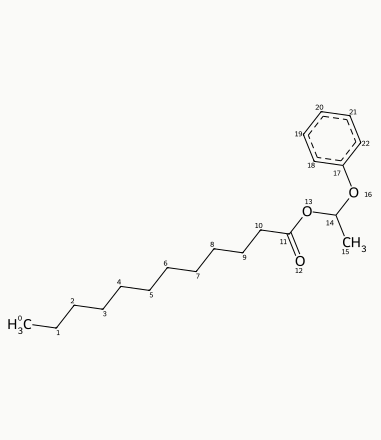 CCCCCCCCCCCC(=O)OC(C)Oc1ccccc1